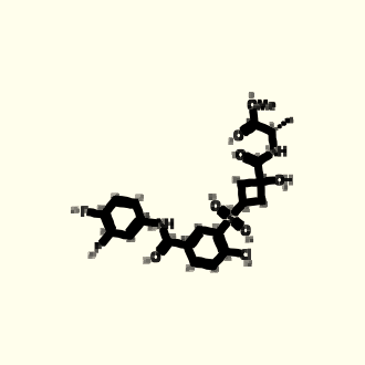 COC(=O)[C@H](C)NC(=O)C1(O)CC(S(=O)(=O)c2cc(C(=O)Nc3ccc(F)c(F)c3)ccc2Cl)C1